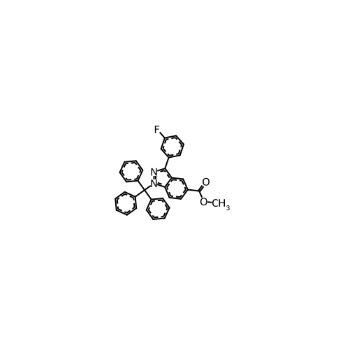 COC(=O)c1ccc2c(c1)c(-c1cccc(F)c1)nn2C(c1ccccc1)(c1ccccc1)c1ccccc1